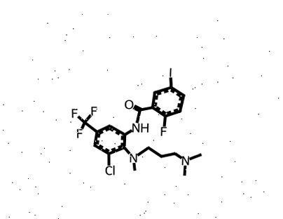 CN(C)CCCN(C)c1c(Cl)cc(C(F)(F)F)cc1NC(=O)c1cc(I)ccc1F